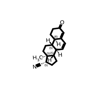 C[C@]12CC[C@H]3[C@@H](C=CC4=CC(=O)CC[C@@H]43)[C@@H]1CC[C@@H]2C#N